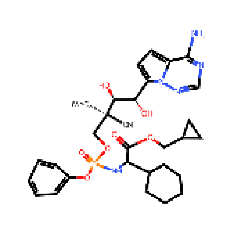 CO[C@](C#N)(COP(=O)(NC(C(=O)OCC1CC1)C1CCCCC1)Oc1ccccc1)[C@@H](O)[C@@H](O)c1ccc2c(N)ncnn12